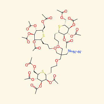 CC(=O)OC[C@H]1S[C@H](CCCOCC(CN=[N+]=[N-])(COCCC[C@@H]2S[C@H](COC(C)=O)[C@@H](OC(C)=O)[C@H](OC(C)=O)[C@H]2OC(C)=O)COCCC[C@@H]2S[C@H](COC(C)=O)[C@@H](OC(C)=O)[C@H](OC(C)=O)[C@H]2OC(C)=O)[C@@H](OC(C)=O)[C@@H](OC(C)=O)[C@@H]1OC(C)=O